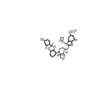 C[C@]1(c2ccc(Cl)cc2F)Oc2cccc(N3CCN(Cc4nc5c(F)cc(C(=O)O)cc5n4C[C@@H]4CCO4)[C@H]4COC[C@H]43)c2O1